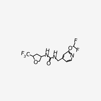 O=C(NCc1ccnc(OC(F)F)c1)NC1COC(C(F)(F)F)C1